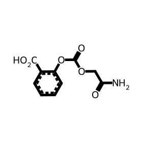 NC(=O)COC(=O)Oc1ccccc1C(=O)O